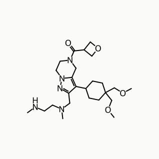 CNCCN(C)Cc1nn2c(c1C1CCC(COC)(COC)CC1)CN(C(=O)C1COC1)CC2